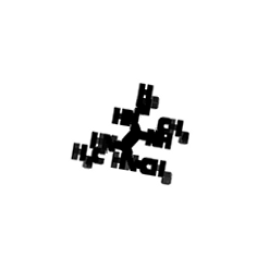 CNC(NC)=C(NC)N[SiH3]